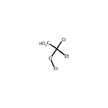 CCOC(Cl)(CC)C(=O)O